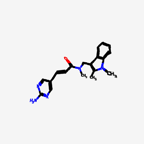 Cc1c(CN(C)C(=O)C=Cc2cnc(N)nc2)c2ccccc2n1C